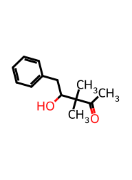 CC(=O)C(C)(C)C(O)Cc1ccccc1